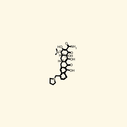 CN(C)[C@@H]1C(O)=C(C(N)=O)C(=O)[C@@]2(O)C(O)=C3C(=O)c4c(cc5c(CN6CCCC6)cccc5c4O)C[C@H]3C[C@@H]12